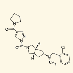 CN(Cc1ccccc1Cl)[C@H]1C[C@@H]2CN(C(=O)n3cc(C(=O)N4CCCC4)cn3)C[C@@H]2C1